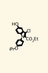 CCOC(=O)c1c(Cl)c2cc(O)ccc2n1-c1ccc(OC(C)C)cc1